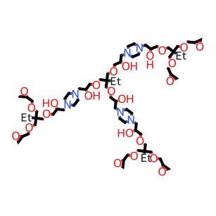 CCC(COCC(O)CN1CCN(CC(O)COCC(CC)(COCC2CO2)COCC2CO2)CC1)(COCC(O)CN1CCN(CC(O)COCC(CC)(COCC2CO2)COCC2CO2)CC1)COCC(O)CN1CCN(CC(O)COCC(CC)(COCC2CO2)COCC2CO2)CC1